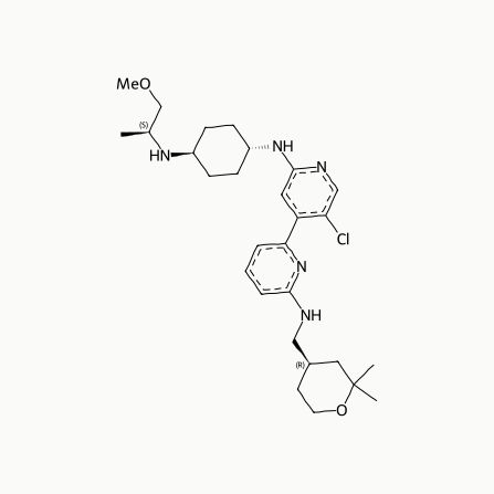 COC[C@H](C)N[C@H]1CC[C@H](Nc2cc(-c3cccc(NC[C@@H]4CCOC(C)(C)C4)n3)c(Cl)cn2)CC1